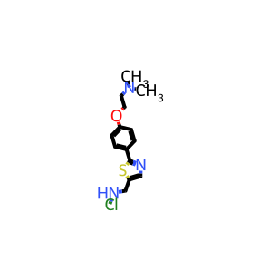 CN(C)CCOc1ccc(-c2ncc(CNCl)s2)cc1